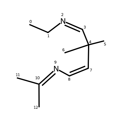 CC/N=C\C(C)(C)/C=C\N=C(C)C